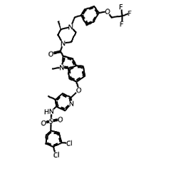 Cc1cc(Oc2ccc3cc(C(=O)N4CCN(Cc5ccc(OCC(F)(F)F)cc5)[C@H](C)C4)n(C)c3c2)ncc1NS(=O)(=O)c1ccc(Cl)c(Cl)c1